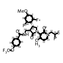 COc1cc(F)c([C@@H]2CN(c3c(C)ccn(CC(F)F)c3=O)C(=O)C2CNC(=O)c2ccc(OC(F)(F)F)cc2)c(F)c1